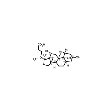 CC(=O)C1(C(C)=O)C[C@@H](O)C[C@H]2CC[C@H]3[C@@H]4CC[C@H]([C@H](C)CCC(=O)O)[C@@]4(C)[C@@H](O)C[C@@H]3[C@]21C